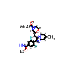 CCOC(=N)c1cc(F)c(-c2nc3cc(C)ccn3c2C[C@H]2CN(C(=O)OC)CCO2)c(F)c1